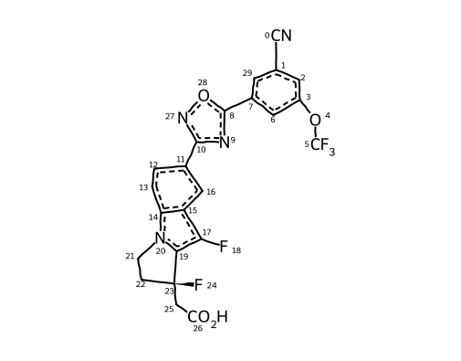 N#Cc1cc(OC(F)(F)F)cc(-c2nc(-c3ccc4c(c3)c(F)c3n4CC[C@@]3(F)CC(=O)O)no2)c1